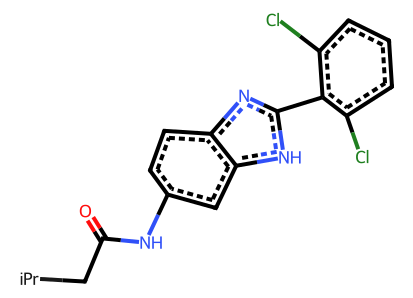 CC(C)CC(=O)Nc1ccc2nc(-c3c(Cl)cccc3Cl)[nH]c2c1